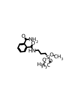 CO[Si](CCCNC(=O)c1ccccc1C(N)=O)(OC)OC